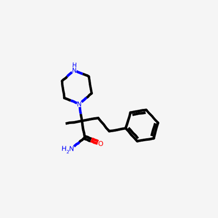 CC(CCc1ccccc1)(C(N)=O)N1CCNCC1